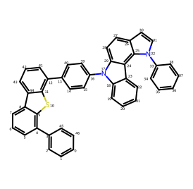 c1ccc(-c2cccc3c2sc2c(-c4ccc(-n5c6ccccc6c6c7c(ccc65)ccn7-c5ccccc5)cc4)cccc23)cc1